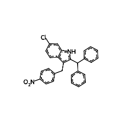 O=[N+]([O-])c1ccc(Cc2c(C(c3ccccc3)c3ccccc3)[nH]c3cc(Cl)ccc23)cc1